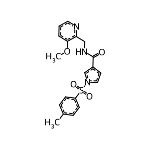 COc1cccnc1CNC(=O)c1ccn(S(=O)(=O)c2ccc(C)cc2)c1